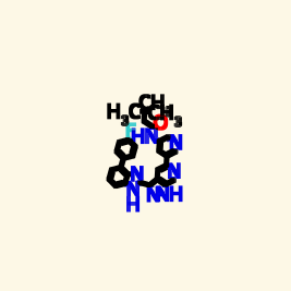 CC(C)(C)CC(=O)Nc1cncc(-c2cc3c(-c4nc5c(-c6ccc(F)cc6)cccc5[nH]4)n[nH]c3cn2)c1